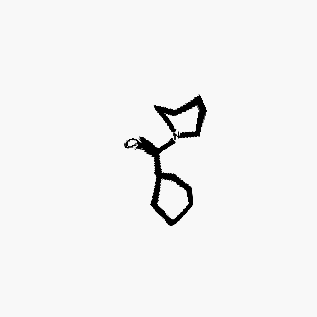 O=C(C1CCCC1)N1CCC1